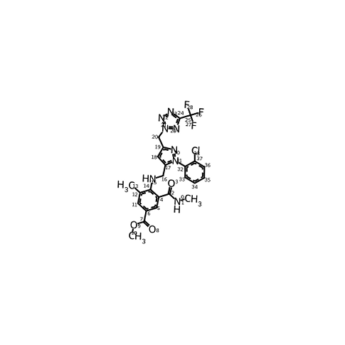 CNC(=O)c1cc(C(=O)OC)cc(C)c1NCc1cc(Cn2nnc(C(F)(F)F)n2)nn1-c1ccccc1Cl